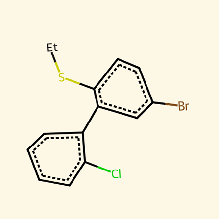 CCSc1ccc(Br)cc1-c1ccccc1Cl